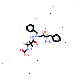 C[C@H](NC(=O)O)C(C)(C)C(=O)NN(Cc1ccccc1)C[C@H](O)[C@@H](N)Cc1ccccc1